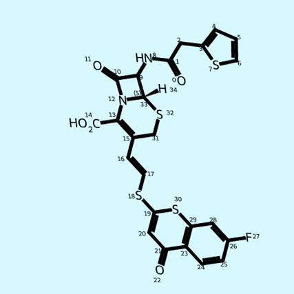 O=C(Cc1cccs1)NC1C(=O)N2C(C(=O)O)=C(C=CSc3cc(=O)c4ccc(F)cc4s3)CS[C@@H]12